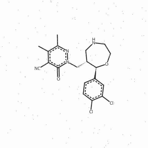 Cc1nn(C[C@@H]2CNCCO[C@H]2c2ccc(Cl)c(Cl)c2)c(=O)c(C#N)c1C